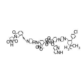 CC1(C)CCC(CN2CCN(c3ccc(C(=O)NS(=O)(=O)c4ccc(NCC5CCN(CC#Cc6cccc7c6CN(C6CCC(=O)NC6=O)C7=O)CC5)c([N+](=O)[O-])c4)c(Oc4cnc5[nH]ccc5c4)c3)CC2)=C(c2ccc(Cl)cc2)C1